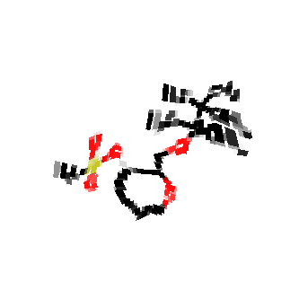 CC(C)(C)[Si](C)(C)OC[C@H]1OC=CC[C@@H]1OS(C)(=O)=O